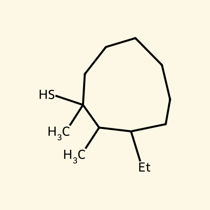 CCC1CCCCCCC(C)(S)C1C